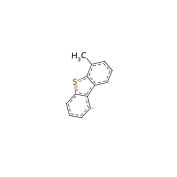 Cc1cccc2c1sc1ccc[c]c12